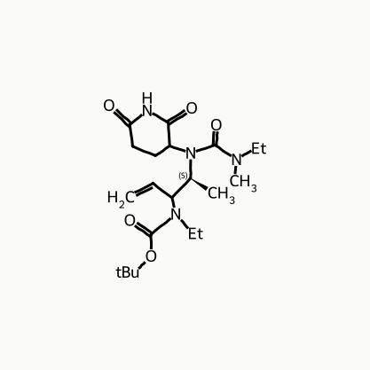 C=CC([C@H](C)N(C(=O)N(C)CC)C1CCC(=O)NC1=O)N(CC)C(=O)OC(C)(C)C